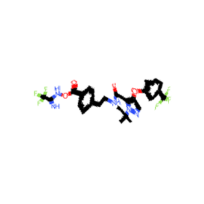 CC(C)(C)n1ncc(Oc2cccc(C(F)(F)F)c2)c1C(=O)NCCc1ccc(C(=O)ONC(=N)C(F)(F)F)cc1